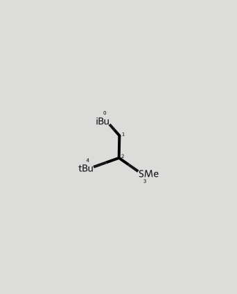 CCC(C)CC(SC)C(C)(C)C